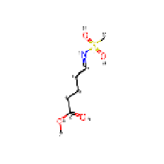 COC(=O)CCCC=NS(C)(=O)=O